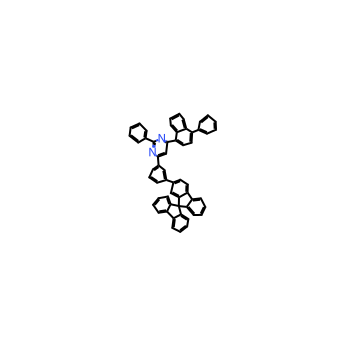 c1ccc(-c2nc(-c3cccc(-c4ccc5c(c4)C4(c6ccccc6-c6ccccc64)c4ccccc4-5)c3)cc(-c3ccc(-c4ccccc4)c4ccccc34)n2)cc1